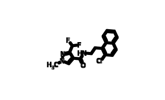 Cn1cc(C(=O)NCCc2c(Cl)ccc3ccccc23)c(C(F)F)n1